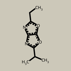 CCc1nc2nc(C(C)C)oc2o1